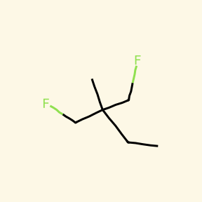 CCC(C)(CF)CF